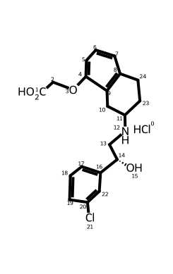 Cl.O=C(O)COc1cccc2c1CC(NC[C@H](O)c1cccc(Cl)c1)CC2